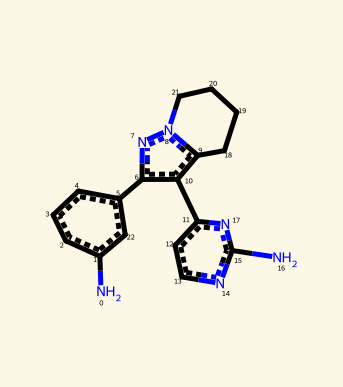 Nc1cccc(-c2nn3c(c2-c2ccnc(N)n2)CCCC3)c1